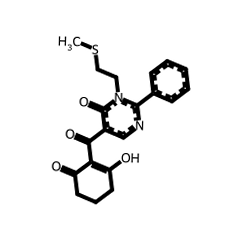 CSCCn1c(-c2ccccc2)ncc(C(=O)C2=C(O)CCCC2=O)c1=O